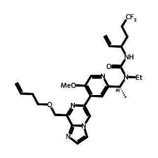 C=CCCOCc1nc(-c2cc([C@@H](C)N(CC)C(=O)NC(C=C)CCC(F)(F)F)ncc2OC)cn2ccnc12